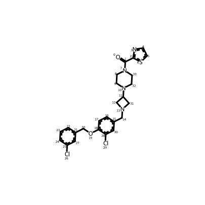 O=C(c1nccs1)N1CCN(C2CN(Cc3ccc(OCc4cccc(Cl)c4)c(Cl)c3)C2)CC1